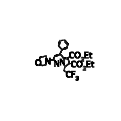 CCOC(=O)C1=C2C(c3ccccc3)=CC(N3CCOCC3)=NN2C(CC(F)(F)F)C1C(=O)OCC